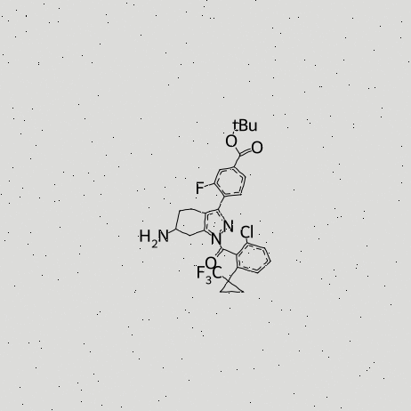 CC(C)(C)OC(=O)c1ccc(-c2nn(C(=O)c3c(Cl)cccc3C3(C(F)(F)F)CC3)c3c2CCC(N)C3)c(F)c1